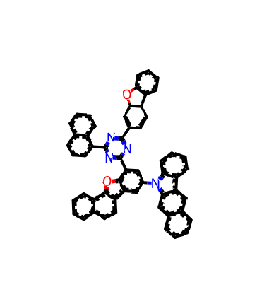 C1=CC2c3ccccc3OC2C=C1c1nc(-c2cccc3ccccc23)nc(-c2cc(-n3c4ccccc4c4cc5ccccc5cc43)cc3c2oc2c4ccccc4ccc32)n1